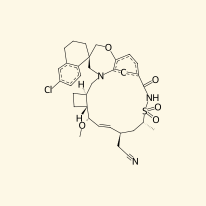 CO[C@H]1/C=C/[C@H](CC#N)C[C@@H](C)S(=O)(=O)NC(=O)c2ccc3c(c2)N(C[C@@H]2CC[C@H]21)C[C@@]1(CCCc2cc(Cl)ccc21)CO3